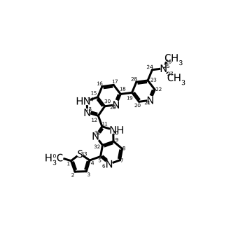 Cc1ccc(-c2nccc3[nH]c(-c4n[nH]c5ccc(-c6cncc(CN(C)C)c6)nc45)nc23)s1